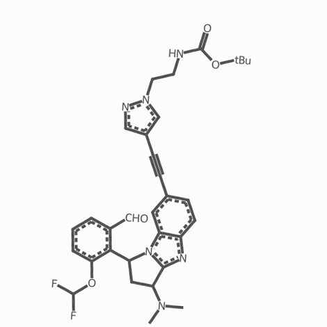 CN(C)C1CC(c2c(C=O)cccc2OC(F)F)n2c1nc1ccc(C#Cc3cnn(CCNC(=O)OC(C)(C)C)c3)cc12